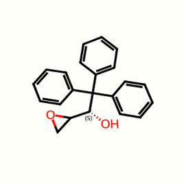 O[C@H](C1CO1)C(c1ccccc1)(c1ccccc1)c1ccccc1